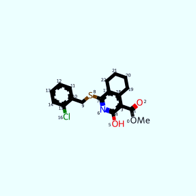 COC(=O)c1c(O)nc(SCc2ccccc2Cl)c2c1CCCC2